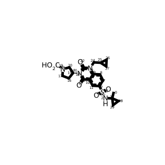 CC1(NS(=O)(=O)c2ccc3c(c2)c(=O)n([C@@H]2CCN(C(=O)O)C2)c(=O)n3CC2CC2)CC1